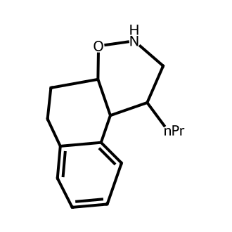 CC[11CH2]C1CNOC2CCc3ccccc3C12